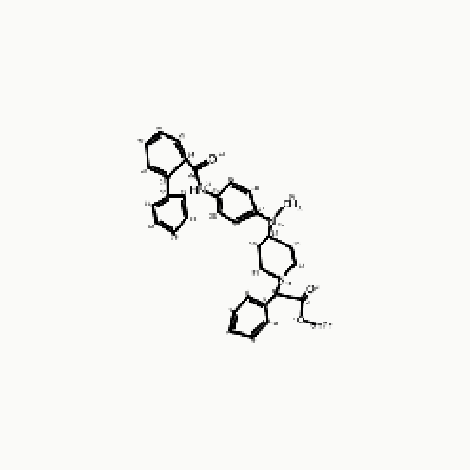 CCCOC(=O)C(c1ccccc1)N1CCC(N(C)c2ccc(NC(=O)c3ccccc3-c3ccccc3)cc2)CC1